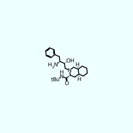 CC(C)(C)NC(=O)[C@@H]1C[C@@H]2CCCC[C@@H]2CN1C[C@@H](O)[C@@H](N)Cc1ccccc1